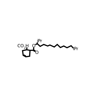 CC(C)CCCCCCCCCCC(OC(=O)C1CC=CCC1C(=O)O)C(C)C